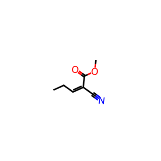 CCC=C(C#N)C(=O)OC